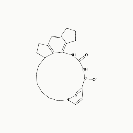 O=C1Nc2c3c(cc4c2C(CCCCCCn2ccc(n2)[S+]([O-])N1)CC4)CCC3